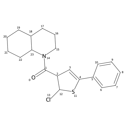 O=C(C1C=C(c2ccccc2)SC1Cl)N1CCCC2CCCCC21